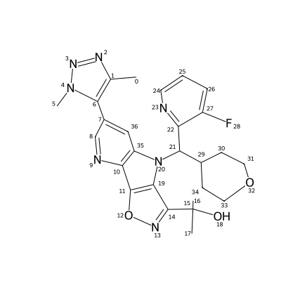 Cc1nnn(C)c1-c1cnc2c3onc(C(C)(C)O)c3n(C(c3ncccc3F)C3CCOCC3)c2c1